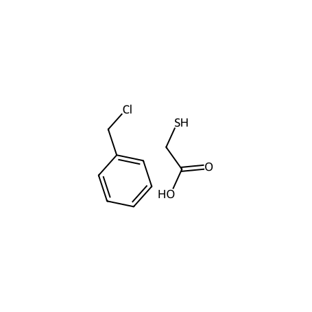 ClCc1ccccc1.O=C(O)CS